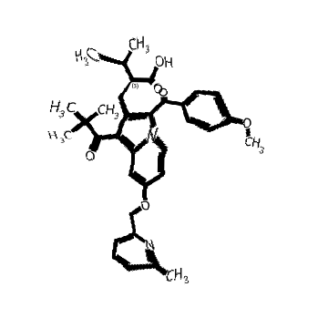 COc1ccc(C(=O)c2c(C[C@H](C(=O)O)C(C)C)c(C(=O)C(C)(C)C)c3cc(OCc4cccc(C)n4)ccn23)cc1